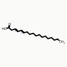 CCCCCCCCCCCC/C=C/C=C/CC(=O)O